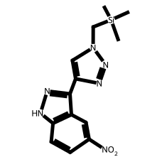 C[Si](C)(C)Cn1cc(-c2n[nH]c3ccc([N+](=O)[O-])cc23)nn1